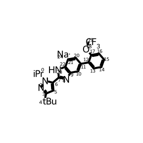 CC(C)n1nc(C(C)(C)C)cc1-c1nc2cc(-c3ccccc3OC(F)(F)F)ccc2[nH]1.[Na]